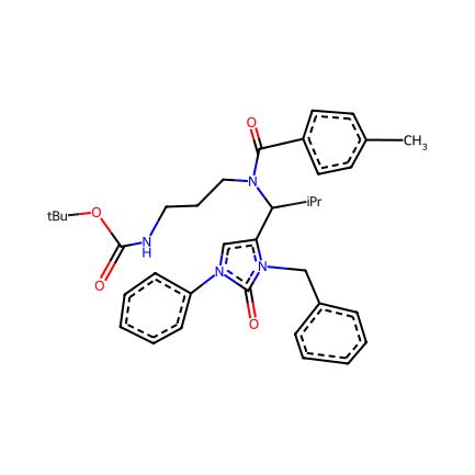 Cc1ccc(C(=O)N(CCCNC(=O)OC(C)(C)C)C(c2cn(-c3ccccc3)c(=O)n2Cc2ccccc2)C(C)C)cc1